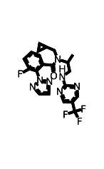 CC(CNc1ncc(C(F)(F)F)cn1)N(CC1CC1)C(=O)c1cccc(F)c1-n1nccn1